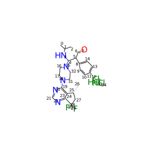 CC(C)NC(C(C=O)c1ccc(Cl)cc1)N1CCN(c2ncnc3c2[C@H](C)CC3(F)F)CC1.Cl.Cl